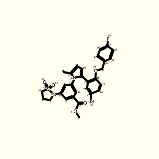 COC(=O)c1cc(N2CCCS2(=O)=O)cc(-n2c(C)ccc2-c2cc(Br)ccc2OCc2ccc(F)cc2)c1